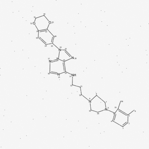 Cc1cccc(N2CCN(CCCNc3ncnc4c3ncn4-c3ccc4c(c3)OCCO4)CC2)c1C